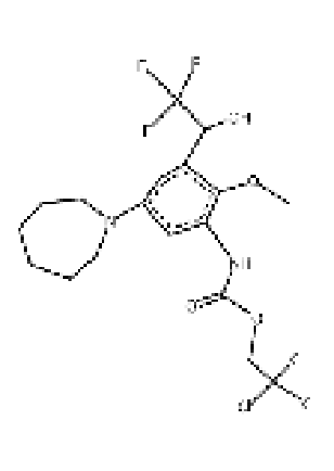 COc1c(NC(=O)OCC(Cl)(Cl)Cl)cc(N2CCCCCC2)cc1C(O)C(F)(F)F